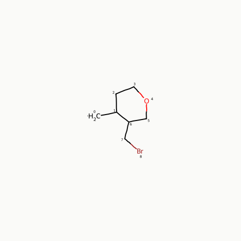 [CH2]C1CCOCC1CBr